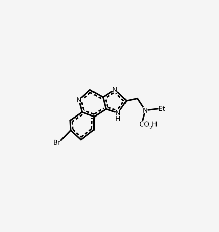 CCN(Cc1nc2cnc3cc(Br)ccc3c2[nH]1)C(=O)O